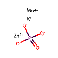 O=P([O-])([O-])[O-].[K+].[Mo+4].[Zn+2]